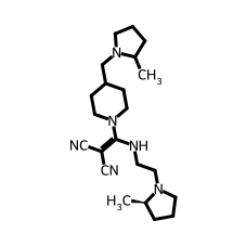 CC1CCCN1CC1CCN(C(NCCN2CCC[C@H]2C)=C(C#N)C#N)CC1